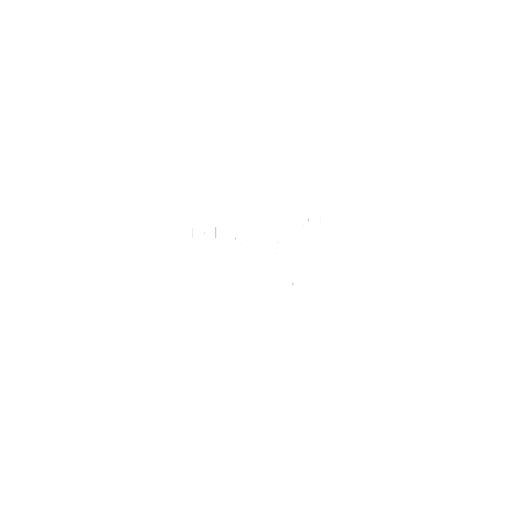 Cl.O=[SH](=O)O